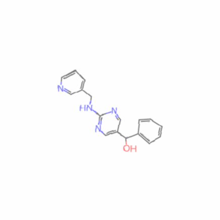 OC(c1ccccc1)c1cnc(NCc2cccnc2)nc1